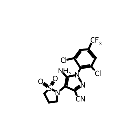 N#Cc1nn(-c2c(Cl)cc(C(F)(F)F)cc2Cl)c(N)c1N1CCCS1(=O)=O